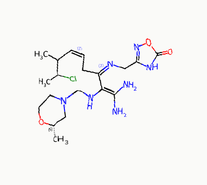 CC(Cl)C(C)/C=C\C/C(=N/Cc1noc(=O)[nH]1)C(NCN1CCO[C@@H](C)C1)=C(N)N